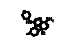 CCC1(N2CCN(C)CC2)CN=C(N)c2ncc(NC3CCOCC3)nc21